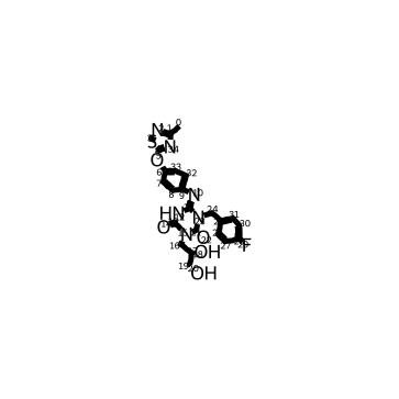 Cc1nsc(Oc2ccc(/N=c3\[nH]c(=O)n(C[C@H](O)CO)c(=O)n3Cc3ccc(F)cc3)cc2)n1